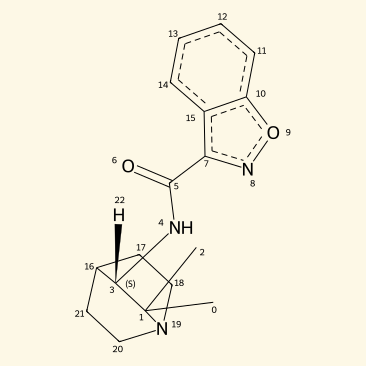 CC1(C)[C@@H](NC(=O)c2noc3ccccc23)C2CCN1CC2